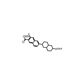 CCCCCCC1CCC2CC(c3ccc4cc(C(=O)OC)c(F)cc4c3)CCC2C1